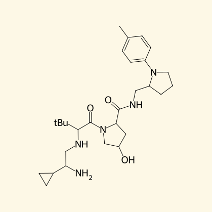 Cc1ccc(N2CCCC2CNC(=O)C2CC(O)CN2C(=O)C(NCC(N)C2CC2)C(C)(C)C)cc1